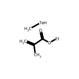 C=C(C)C(=O)OCC.C[TeH]